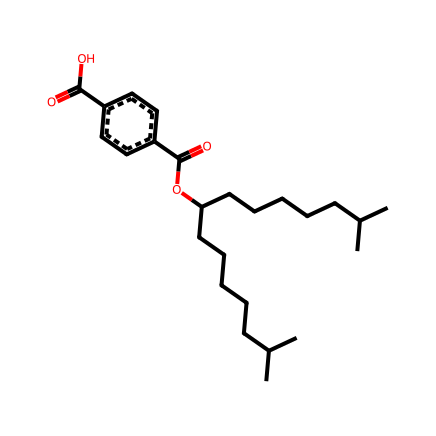 CC(C)CCCCCC(CCCCCC(C)C)OC(=O)c1ccc(C(=O)O)cc1